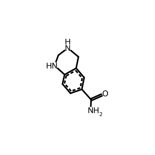 NC(=O)c1ccc2c(c1)CNCN2